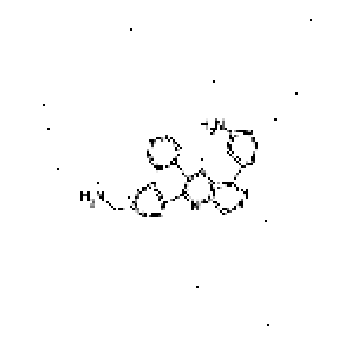 NCc1ccc(-c2nc3ccnc(-c4cccc(N)c4)c3cc2-c2ccccc2)cc1